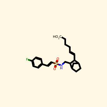 O=C(O)CCC/C=C/C1C2CCC(C2)C1CNS(=O)(=O)/C=C/c1ccc(F)cc1